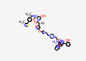 Cc1ncsc1-c1ccc([C@H](C)NC(=O)[C@@H]2C[C@@H](O)CN2C(=O)[C@@H](c2cc(OC3CN(CCN4CCN(CCOc5cc(N6C7CCC6CN(c6cc(-c8ccccc8O)nnc6N)C7)ccn5)CC4)C3)no2)C(C)C)cc1